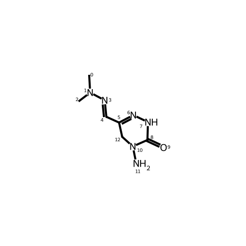 CN(C)/N=C/C1=NNC(=O)N(N)C1